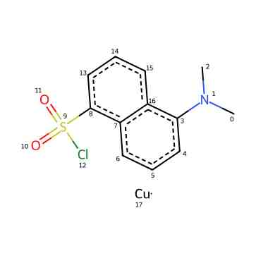 CN(C)c1cccc2c(S(=O)(=O)Cl)cccc12.[Cu]